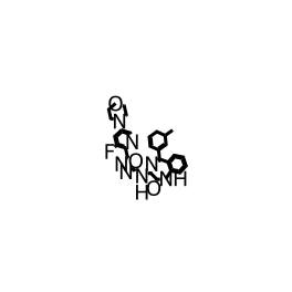 CC1C=C(C2=NC(Nc3nnc(-c4ncc(N5CCOCC5)cc4F)o3)C(=O)Nc3ccccc32)C=CC1